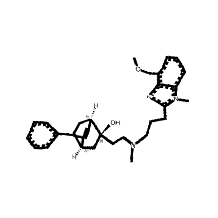 COc1cccc2c1nc(CCCN(C)CC[C@]1(O)C[C@H]3CC[C@@H]1C=C3c1ccccc1)n2C